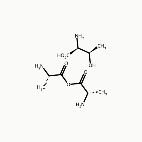 C[C@@H](O)[C@H](N)C(=O)O.C[C@H](N)C(=O)OC(=O)[C@H](C)N